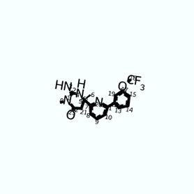 CN1C(=N)N[C@](C)(c2cccc(-c3cccc(OC(F)(F)F)c3)n2)CC1=O